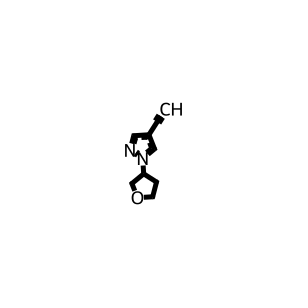 C#Cc1cnn(C2CCOC2)c1